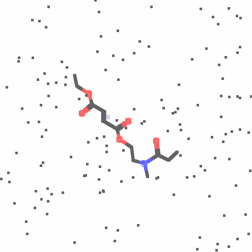 CCOC(=O)/C=C/C(=O)OCCN(C)C(=O)CC